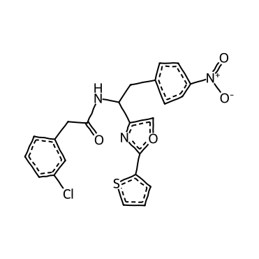 O=C(Cc1cccc(Cl)c1)NC(Cc1ccc([N+](=O)[O-])cc1)c1coc(-c2cccs2)n1